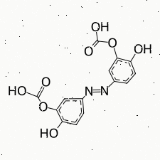 O=C(O)Oc1cc(N=Nc2ccc(O)c(OC(=O)O)c2)ccc1O